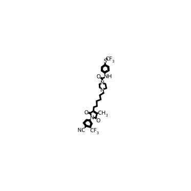 CC1=C(CCCCCCN2CCN(C(=O)Nc3ccc(SC(F)(F)F)cc3)CC2)C(=O)N(c2ccc(C#N)c(C(F)(F)F)c2)C1=O